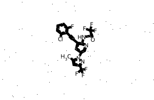 Cc1cc(C(F)(F)F)nn1-c1cnc(NC(=O)C(F)(F)F)c(C#Cc2c(F)cccc2Cl)c1